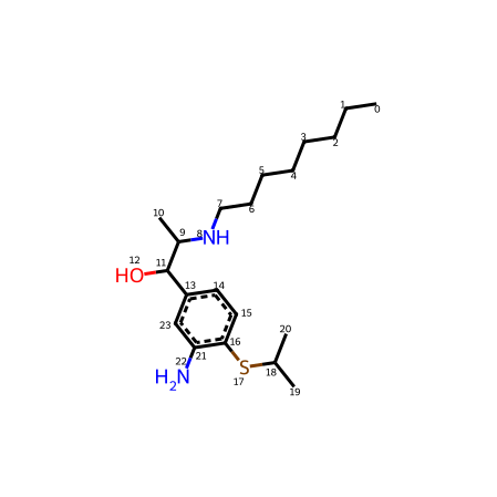 CCCCCCCCNC(C)C(O)c1ccc(SC(C)C)c(N)c1